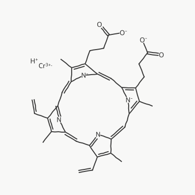 C=CC1=C(C)c2cc3[n-]c(cc4[n-]c(cc5nc(cc1n2)C(C)=C5C=C)c(C)c4CCC(=O)[O-])c(CCC(=O)[O-])c3C.[Cr+3].[H+]